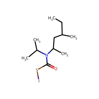 CCC(C)CC(C)N(C(=O)SI)C(C)C